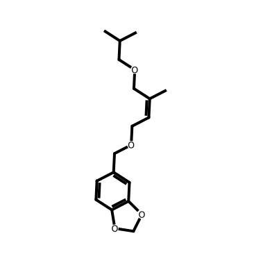 CC(=CCOCc1ccc2c(c1)OCO2)COCC(C)C